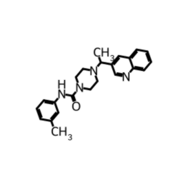 Cc1cccc(NC(=O)N2CCN(C(C)c3cnc4ccccc4c3)CC2)c1